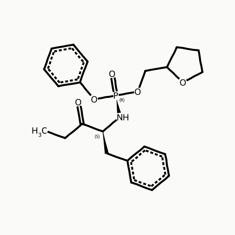 CCC(=O)[C@H](Cc1ccccc1)N[P@@](=O)(OCC1CCCO1)Oc1ccccc1